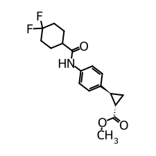 COC(=O)[C@H]1C[C@@H]1c1ccc(NC(=O)C2CCC(F)(F)CC2)cc1